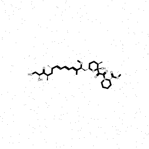 COC(=O)[C@@H]1CCCCN1C(=O)C(=O)[C@]1(O)O[C@H](C[C@H](OC)/C(C)=C/C=C/C=C/[C@@H](C)C[C@@H](C)C(=O)[C@H](O)CO)CC[C@H]1C